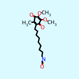 COC1=C(OC)C(=O)C(CCCCCCCCCN=C=O)=C(C)C1=O